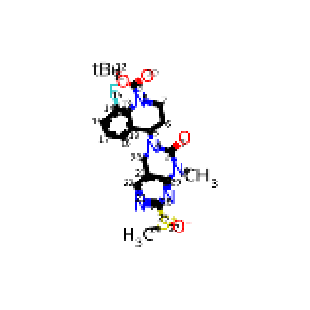 CN1C(=O)N(C2CCN(C(=O)OC(C)(C)C)c3c(F)cccc32)Cc2cnc([S+](C)[O-])nc21